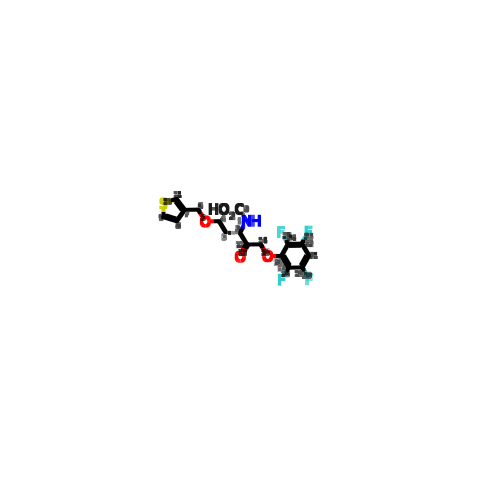 O=C(O)N[C@@H](CCOCc1ccsc1)C(=O)COc1c(F)c(F)cc(F)c1F